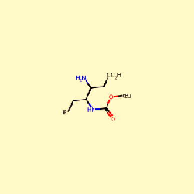 CC(C)CC(NC(=O)OC(C)(C)C)C(N)CC(=O)O